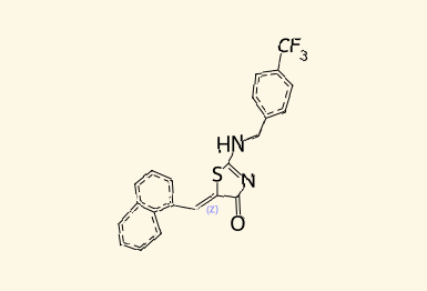 O=C1N=C(NCc2ccc(C(F)(F)F)cc2)S/C1=C\c1cccc2ccccc12